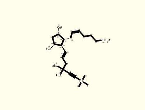 CCCCC(O)(C#C[Si](C)(C)C)C/C=C/[C@@H]1[C@@H](C/C=C\CCCC(=O)O)[C@@H](O)C[C@H]1O